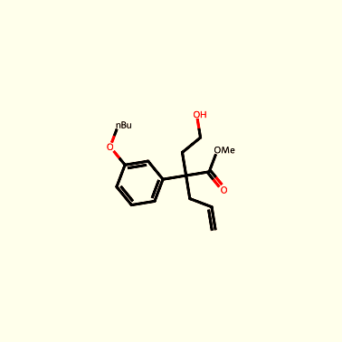 C=CCC(CCO)(C(=O)OC)c1cccc(OCCCC)c1